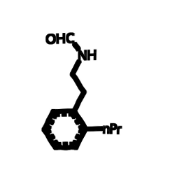 CCCc1ccccc1CCNC=O